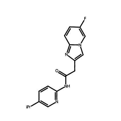 CC(C)c1ccc(NC(=O)Cc2cn3cc(F)ccc3n2)nc1